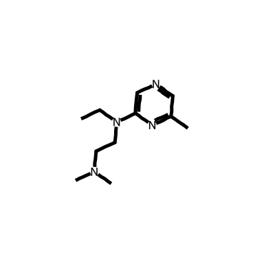 CCN(CCN(C)C)c1cncc(C)n1